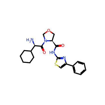 N[C@@H](C(=O)N1COC[C@H]1C(=O)Nc1nc(-c2ccccc2)cs1)C1CCCCC1